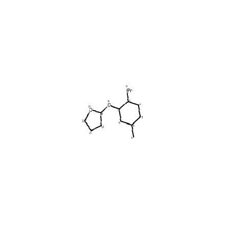 C[C](C)C1CCC(C)CC1OC1CCCO1